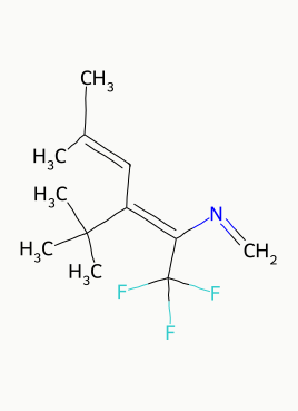 C=N/C(=C(\C=C(C)C)C(C)(C)C)C(F)(F)F